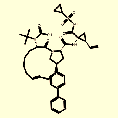 C=C[C@@H]1C[C@]1(NC(=O)[C@@H]1C[C@@]2(c3ccc(-c4ccccc4)cc3)CN1C(=O)[C@@H](N(C(=O)O)C(C)(C)C)CCCC/C=C/CS2)C(=O)NS(=O)(=O)C1CC1